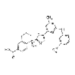 Cc1cc(Nc2cc(C3CC3)ccn2)nc(-c2cnc([C@@]3(O)CCCc4cc(C(=O)O)ccc43)s2)c1